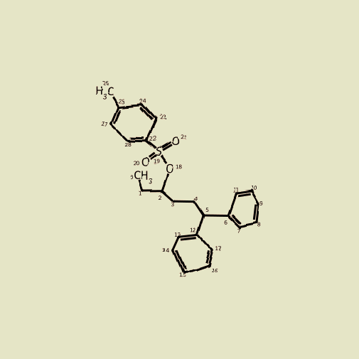 CCC(CCC(c1ccccc1)c1ccccc1)OS(=O)(=O)c1ccc(C)cc1